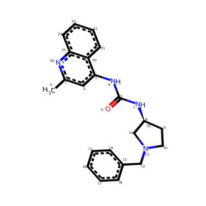 Cc1cc(NC(=O)N[C@H]2CCN(Cc3ccccc3)C2)c2ccccc2n1